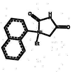 CC[N+]1(c2cccc3ccccc23)CC(=O)NC1=O